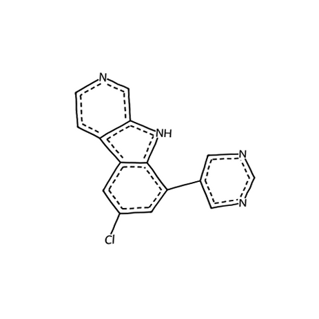 Clc1cc(-c2cncnc2)c2[nH]c3cnccc3c2c1